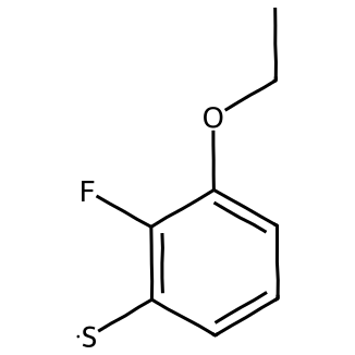 CCOc1cccc([S])c1F